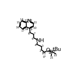 C[C@H](CCCNCCCc1ccnc2ccccc12)O[Si](C)(C)C(C)(C)C